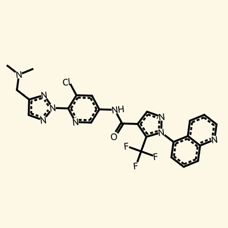 CN(C)Cc1cnn(-c2ncc(NC(=O)c3cnn(-c4cccc5ncccc45)c3C(F)(F)F)cc2Cl)n1